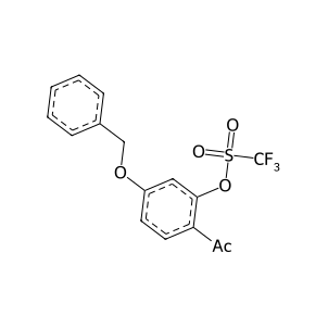 CC(=O)c1ccc(OCc2ccccc2)cc1OS(=O)(=O)C(F)(F)F